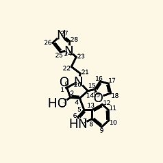 O=C1C(O)=C(c2c[nH]c3ccccc23)C(c2ccco2)N1CCCn1ccnc1